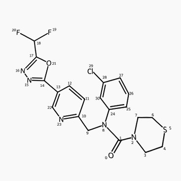 O=C(N1CCSCC1)N(Cc1ccc(-c2nnc(C(F)F)o2)cn1)c1cccc(Cl)c1